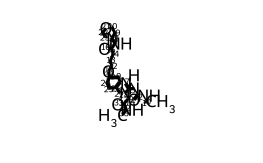 CCNC(=O)NC1=Nc2cc(OCCCC(=O)NN3CCOCC3)ccc2CN1CC(=O)NC